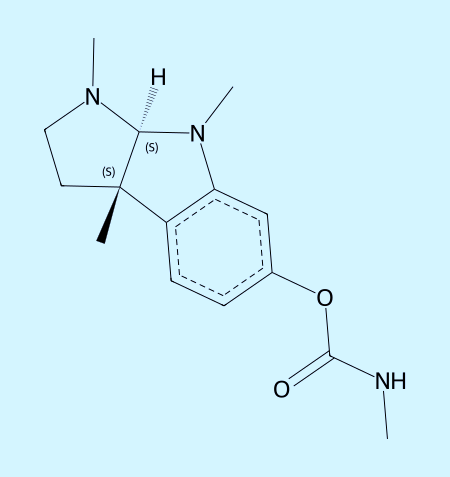 CNC(=O)Oc1ccc2c(c1)N(C)[C@@H]1N(C)CC[C@@]21C